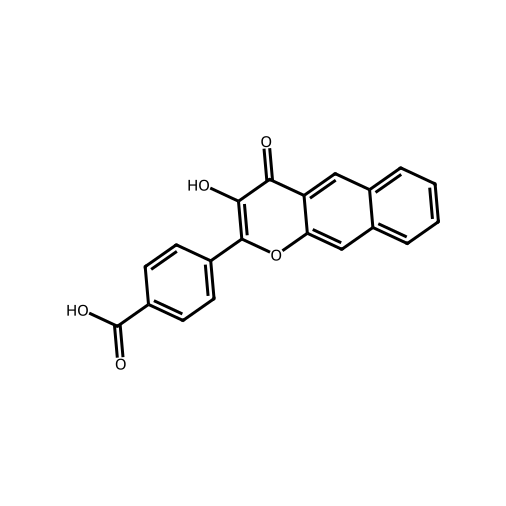 O=C(O)c1ccc(-c2oc3cc4ccccc4cc3c(=O)c2O)cc1